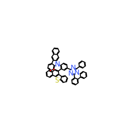 c1ccc(-c2nc(-c3ccc(-n4c5ccccc5c5cc6ccccc6cc54)c(-c4cc5ccccc5c5sc6ccccc6c45)c3)nc(-c3ccccc3-c3ccccc3)n2)cc1